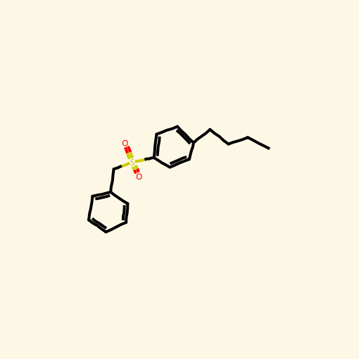 CCCCc1ccc(S(=O)(=O)Cc2ccccc2)cc1